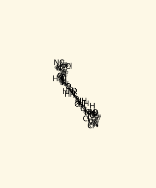 CN1Cc2c(Cl)cc(Cl)cc2C(c2cccc(S(=O)(=O)N[C@H]3CCN(CCOCCNC(=O)NCCCCNC(=O)NCCOCCN4CC[C@H](NS(=O)(=O)c5cccc(C6CN(C)Cc7c(C#N)cc(Cl)cc76)c5)C4)C3)c2)C1